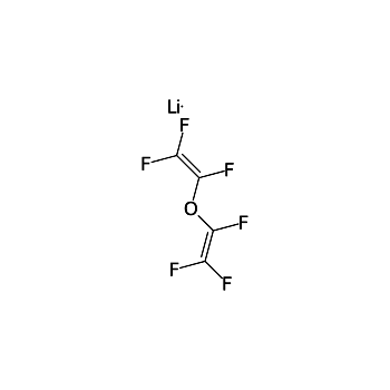 FC(F)=C(F)OC(F)=C(F)F.[Li]